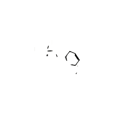 CC(C)(C)[Si](C)(C)OC[C@@H]1CC=C[C@H](CO)O1